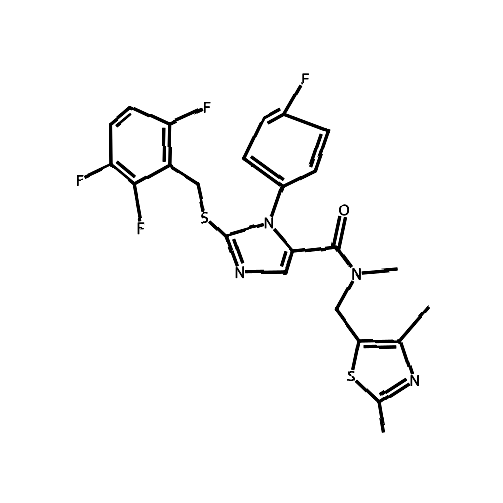 Cc1nc(C)c(CN(C)C(=O)c2cnc(SCc3c(F)ccc(F)c3F)n2-c2ccc(F)cc2)s1